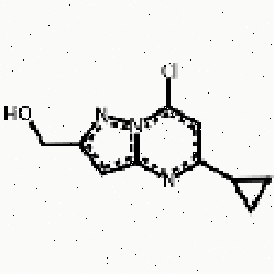 OCc1cc2nc(C3CC3)cc(Cl)n2n1